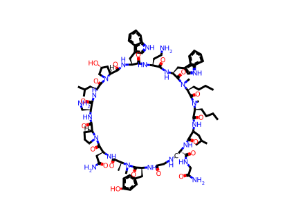 CCCC[C@H]1C(=O)N(C)[C@@H](CCCC)C(=O)NC(CC(C)C)C(=O)N[C@H](C(=O)NCC(N)=O)CNCC(=O)N[C@@H](Cc2ccc(O)cc2)C(=O)N(C)[C@@H](C)C(=O)N[C@@H](CC(N)=O)C(=O)N2CCC[C@H]2C(=O)N[C@@H](CN)C(=O)N[C@@H](CC(C)C)C(=O)N2C[C@H](O)C[C@H]2C(=O)N[C@@H](Cc2c[nH]c3ccccc23)C(=O)N[C@@H](CCN)C(=O)N[C@@H](Cc2c[nH]c3ccccc23)C(=O)N1C